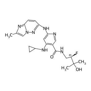 Cc1cn2nc(Nc3cc(NC4CC4)c(C(=O)NC[C@@H](F)C(C)(C)O)cn3)ccc2n1